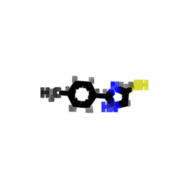 Cc1ccc(-c2nc(S)c[nH]2)cc1